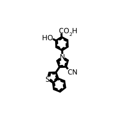 N#Cc1cn(-c2ccc(C(=O)O)c(O)c2)cc1-c1csc2ccccc12